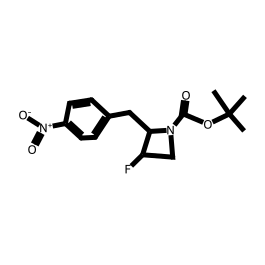 CC(C)(C)OC(=O)N1CC(F)C1Cc1ccc([N+](=O)[O-])cc1